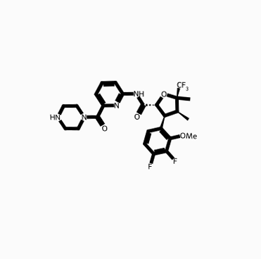 COc1c([C@H]2[C@H](C(=O)Nc3cccc(C(=O)N4CCNCC4)n3)O[C@@](C)(C(F)(F)F)[C@H]2C)ccc(F)c1F